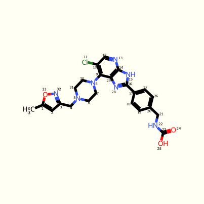 Cc1cc(CN2CCN(c3c(Cl)cnc4[nH]c(-c5ccc(CNC(=O)O)cc5)nc34)CC2)no1